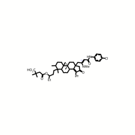 CCC(CCC1(C)C(C)CCC2(C)C1CCC1C3=C(C(C)C)C(=O)CC3(C/C(=C/C(=O)Nc3ccc(Cl)cc3)NC)CC[C@]12C)OC(=O)CC(C)(C)C(=O)O